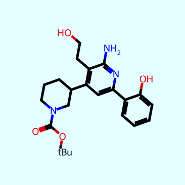 CC(C)(C)OC(=O)N1CCCC(c2cc(-c3ccccc3O)nc(N)c2CCO)C1